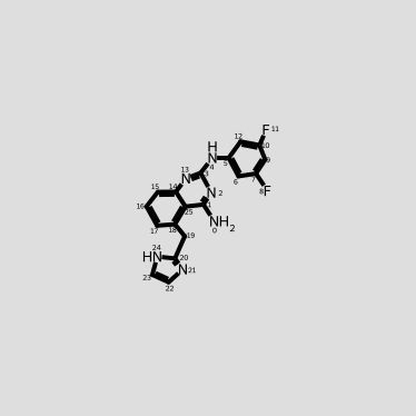 Nc1nc(Nc2cc(F)cc(F)c2)nc2cccc(Cc3ncc[nH]3)c12